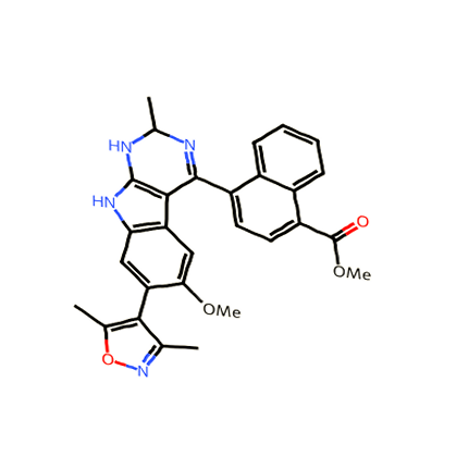 COC(=O)c1ccc(C2=NC(C)Nc3[nH]c4cc(-c5c(C)noc5C)c(OC)cc4c32)c2ccccc12